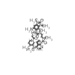 C[C@@H]1CCN(C(=O)CC#N)C[C@@H]1N(C)c1ncnc2c1ccn2C(=O)N(C)CCN(C)C(=O)Nc1cc2c(cc1N)n(C)c(=O)n2C